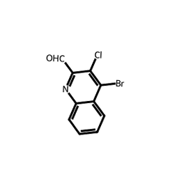 O=Cc1nc2ccccc2c(Br)c1Cl